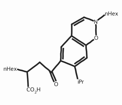 CCCCCCC(CC(=O)c1cc2c(cc1C(C)C)ON(CCCCCC)C=C2)C(=O)O